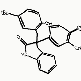 Cc1cc(C2(c3cc(C(C)(C)C)ccc3O)C(=O)Nc3ccccc32)ccc1Cl